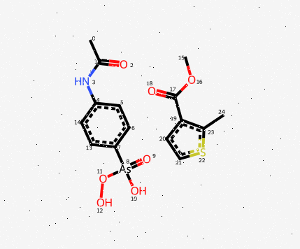 CC(=O)Nc1ccc([As](=O)(O)OO)cc1.COC(=O)c1ccsc1C